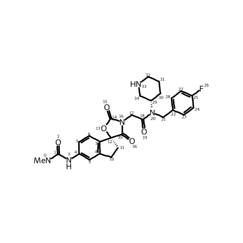 CNC(=O)Nc1ccc2c(c1)CC[C@@]21OC(=O)N(CC(=O)N(Cc2ccc(F)cc2)[C@H]2CCCNC2)C1=O